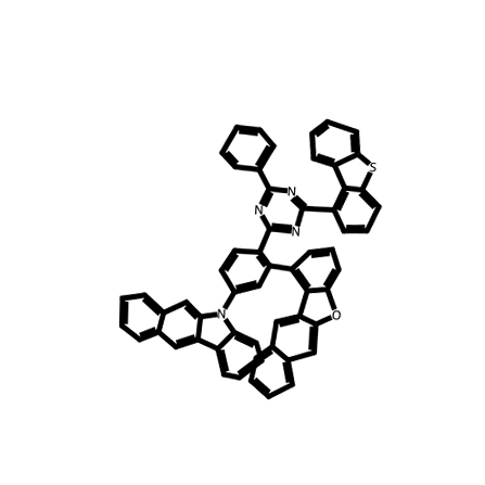 c1ccc(-c2nc(-c3ccc(-n4c5ccccc5c5cc6ccccc6cc54)cc3-c3cccc4oc5cc6ccccc6cc5c34)nc(-c3cccc4sc5ccccc5c34)n2)cc1